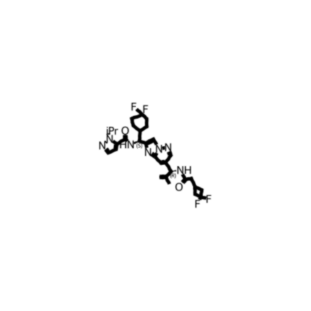 C=C(C)[C@@H](NC(=O)CC1CC(F)(F)C1)c1cnn2cc([C@@H](NC(=O)c3ccnn3C(C)C)C3CCC(F)(F)CC3)nc2c1